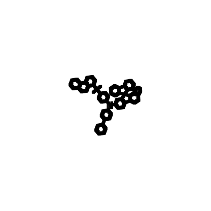 CC(C)(c1ccc(N(c2ccc(-c3ccccc3)cc2)c2ccc3c(c2)C2(c4ccccc4-c4ccccc42)c2c-3ccc3ccccc23)cc1)c1cccc2c1ccc1ccccc12